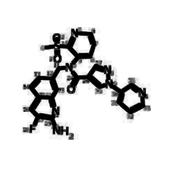 CS(=O)(=O)c1ncccc1N(Cc1ccc2cc(F)c(N)nc2c1)C(=O)c1cnn(-c2cccnc2)c1